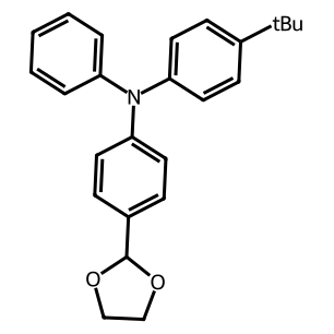 CC(C)(C)c1ccc(N(c2ccccc2)c2ccc(C3OCCO3)cc2)cc1